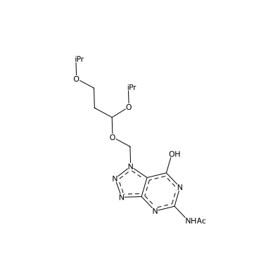 CC(=O)Nc1nc(O)c2c(nnn2COC(CCOC(C)C)OC(C)C)n1